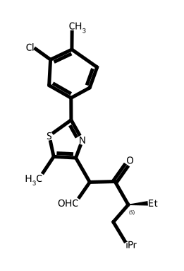 CC[C@@H](CC(C)C)C(=O)C(C=O)c1nc(-c2ccc(C)c(Cl)c2)sc1C